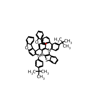 CC(C)(C)c1ccc(N2B3c4sc5ccccc5c4N(c4ccc(C(C)(C)C)cc4-c4ccccc4)c4cc5c(oc6ccccc65)c(c43)-c3c2ccc2oc4ccccc4c32)cc1